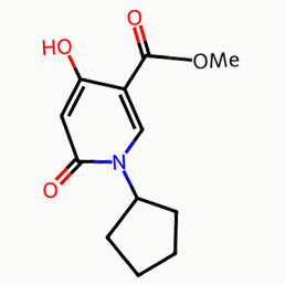 COC(=O)c1cn(C2CCCC2)c(=O)cc1O